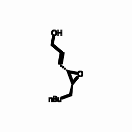 CCCCC[C@@H]1O[C@H]1C=CCO